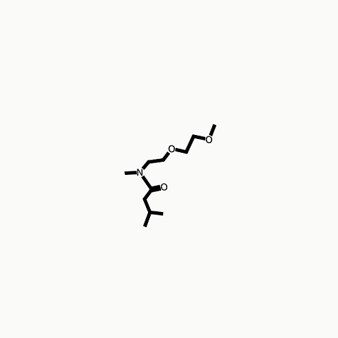 COCCOCCN(C)C(=O)CC(C)C